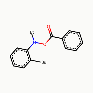 CCC(C)c1ccccc1N(CC)OC(=O)c1ccccc1